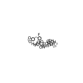 CO[C@@]1(c2ccc(F)c(Cc3ccc4c(c3)OCCO4)c2)O[C@H](CO[Si](C)(C)C(C)(C)C)[C@@H](O)[C@H](O)[C@H]1O